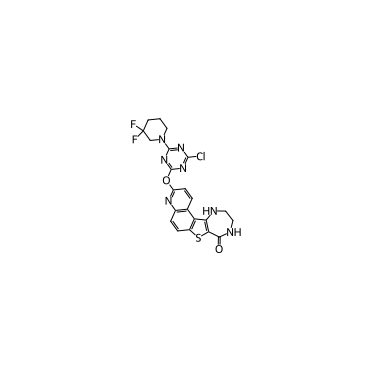 O=C1NCCNc2c1sc1ccc3nc(Oc4nc(Cl)nc(N5CCCC(F)(F)C5)n4)ccc3c21